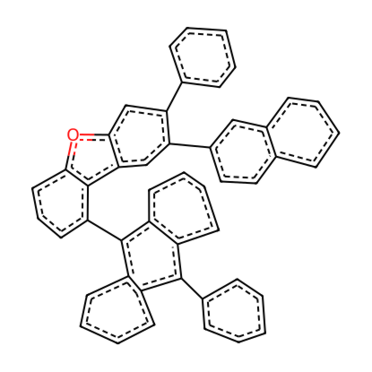 c1ccc(-c2cc3oc4cccc(-c5c6ccccc6c(-c6ccccc6)c6ccccc56)c4c3cc2-c2ccc3ccccc3c2)cc1